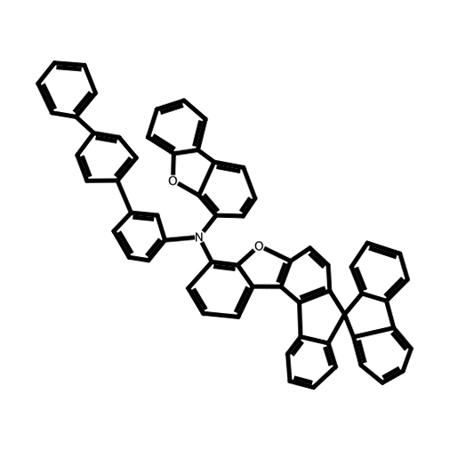 c1ccc(-c2ccc(-c3cccc(N(c4cccc5c4oc4ccccc45)c4cccc5c4oc4ccc6c(c45)-c4ccccc4C64c5ccccc5-c5ccccc54)c3)cc2)cc1